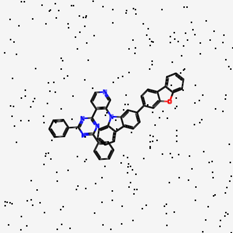 c1ccc(-c2nc(-c3ccccc3)nc(-c3ccncc3-n3c4ccccc4c4ccc(-c5ccc6c(c5)oc5ccccc56)cc43)n2)cc1